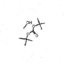 CC(C)(C)OC(=O)OC(C)(C)C.CO